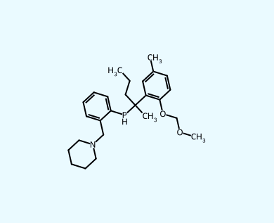 CCCC(C)(Pc1ccccc1CN1CCCCC1)c1cc(C)ccc1OCOC